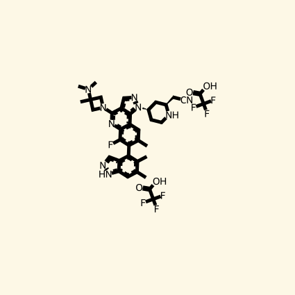 Cc1cc2[nH]ncc2c(-c2c(C)cc3c(nc(N4CC(C)(N(C)C)C4)c4cnn([C@H]5CCN[C@H](CC#N)C5)c43)c2F)c1C.O=C(O)C(F)(F)F.O=C(O)C(F)(F)F